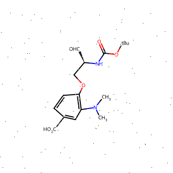 CN(C)c1cc(C(=O)O)ccc1OC[C@@H](C=O)NC(=O)OC(C)(C)C